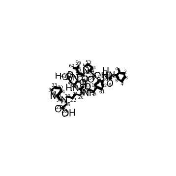 Cc1ccccc1NC(=O)Nc1ccc(CC(=O)N[C@@H](CCCCN(CC(=O)O)Cc2ccccn2)C(=O)N[C@@H](CC(=O)O)C(=O)N[C@H](C(=O)N2CCC[C@H]2C(=O)O)C(C)C)cc1